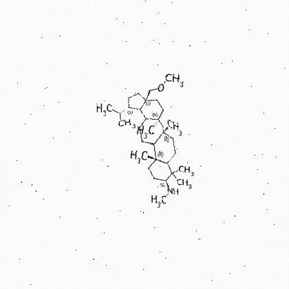 CN[C@H]1CC[C@@]2(C)C(CC[C@]3(C)C2CCC2C4[C@H](C(C)C)CC[C@]4(COC)CC[C@]23C)C1(C)C